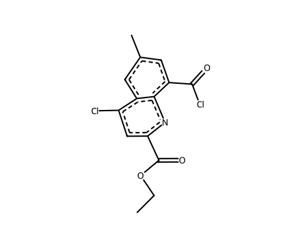 CCOC(=O)c1cc(Cl)c2cc(C)cc(C(=O)Cl)c2n1